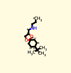 CCCNCC1COC2(CCC(C(C)(C)C)CC2)O1